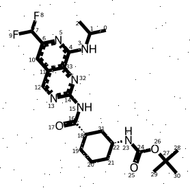 CC(C)Nc1nc(C(F)F)cc2cnc(NC(=O)[C@H]3CCC[C@@H](NC(=O)OC(C)(C)C)C3)nc12